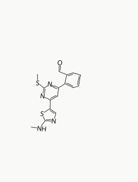 CNc1ncc(-c2cc(-c3ccccc3C=O)nc(SC)n2)s1